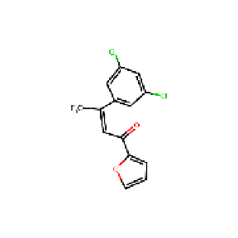 O=C(/C=C(\c1cc(Cl)cc(Cl)c1)C(F)(F)F)c1ccco1